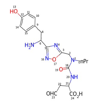 CCCN(Cc1nc(C(N)Cc2ccc(O)cc2)no1)C(=O)NC(CC=O)C(=O)O